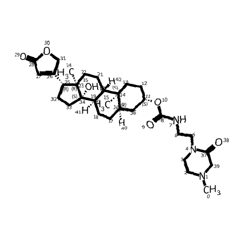 CN1CCN(CCNC(=O)O[C@H]2CC[C@@]3(C)[C@H](CC[C@@H]4[C@@H]3CC[C@]3(C)[C@@H](C5=CC(=O)OC5)[CH]C[C@]43O)C2)C(=O)C1